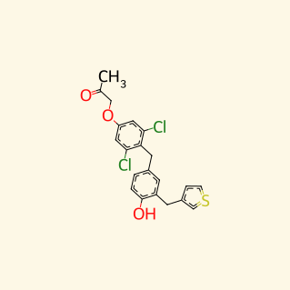 CC(=O)COc1cc(Cl)c(Cc2ccc(O)c(Cc3ccsc3)c2)c(Cl)c1